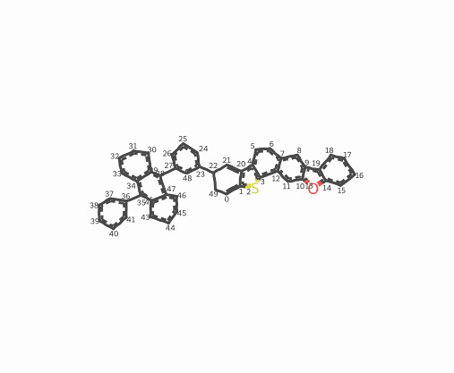 C1=c2sc3c(ccc4cc5c(cc43)oc3ccccc35)c2=CC(c2cccc(-c3c4ccccc4c(-c4ccccc4)c4ccccc34)c2)C1